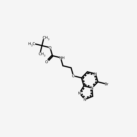 CC(C)(C)OC(=O)NCCOc1cnc(Br)n2cnnc12